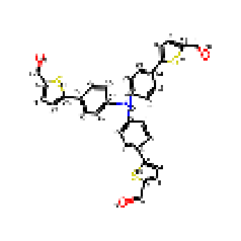 O=Cc1ccc(-c2ccc(N(c3ccc(-c4ccc(C=O)s4)cc3)c3ccc(-c4ccc(C=O)s4)cc3)cc2)s1